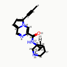 CC#Cc1ccc2cnc(C(=O)N[C@H]3CN4CCC3CC4)cn12